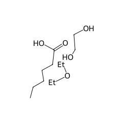 CCCCCC(=O)O.CCOCC.OCCO